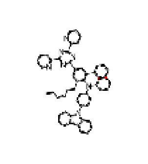 C=C/C=C\C=C\c1cc(-c2nc(-c3ccccn3)nc(-c3ccccn3)n2)cc(-c2ccccc2)c1N(c1ccccc1)c1ccc(-n2c3ccccc3c3ccccc32)cc1